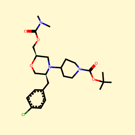 CN(C)C(=O)OC[C@H]1CN(C2CCN(C(=O)OC(C)(C)C)CC2)[C@@H](Cc2ccc(Cl)cc2)CO1